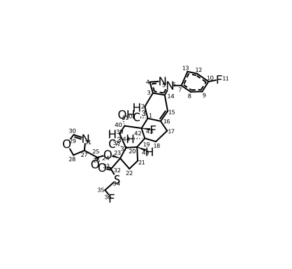 C[C@]12Cc3cnn(-c4ccc(F)cc4)c3C=C1CC[C@H]1[C@@H]3CC[C@](OC(=O)C4COC=N4)(C(=O)SCF)[C@@]3(C)C[C@H](O)[C@@]12F